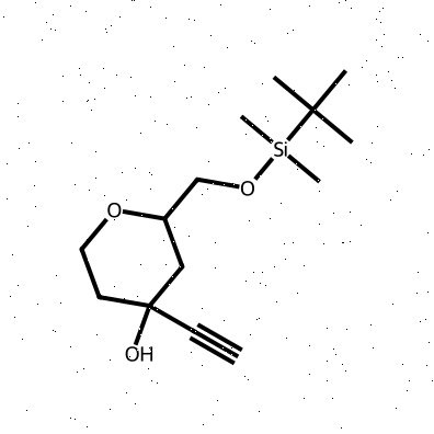 C#CC1(O)CCOC(CO[Si](C)(C)C(C)(C)C)C1